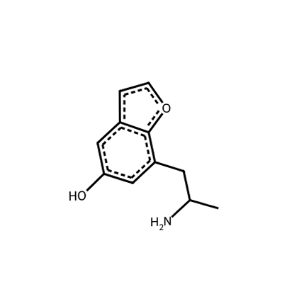 CC(N)Cc1cc(O)cc2ccoc12